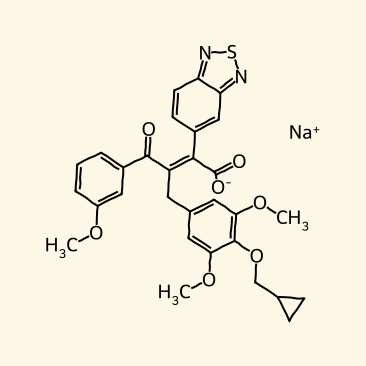 COc1cccc(C(=O)C(Cc2cc(OC)c(OCC3CC3)c(OC)c2)=C(C(=O)[O-])c2ccc3nsnc3c2)c1.[Na+]